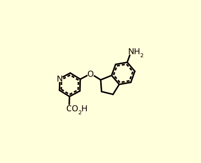 Nc1ccc2c(c1)C(Oc1cncc(C(=O)O)c1)CC2